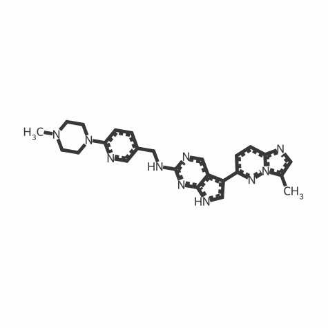 Cc1cnc2ccc(-c3c[nH]c4nc(NCc5ccc(N6CCN(C)CC6)nc5)ncc34)nn12